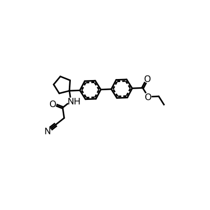 CCOC(=O)c1ccc(-c2ccc(C3(NC(=O)CC#N)CCCC3)cc2)cc1